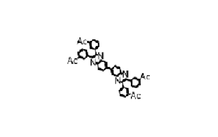 CC(=O)c1cccc(-c2nc3ccc(-c4ccc5nc(-c6cccc(C(C)=O)c6)c(-c6cccc(C(C)=O)c6)nc5c4)cc3nc2-c2cccc(C(C)=O)c2)c1